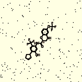 O=C(Nc1cc(O)c(C2CCCC2)cc1C(F)(F)F)[C@@H]1CNc2cc(OC(F)(F)F)ccc2O1